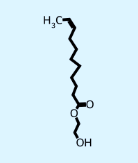 C/C=C\CCCCCCCC(=O)OCCO